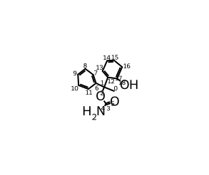 CC(OC(N)=O)(c1ccccc1)c1ccccc1O